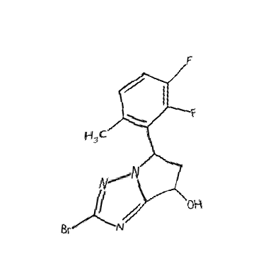 Cc1ccc(F)c(F)c1C1CC(O)c2nc(Br)nn21